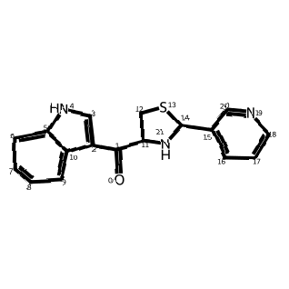 O=C(c1c[nH]c2ccccc12)C1CSC(c2cccnc2)N1